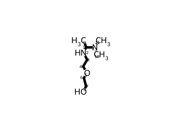 CC(NCCOCCO)N(C)C